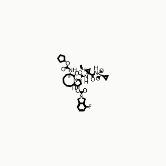 C=C[C@@H]1C[C@]1(NC(=O)[C@@H]1C[C@@H](OC(=O)N2Cc3cccc(F)c3C2)[C@@H]2CCCCC[C@H](NC(=O)OC3CCCC3)C(=O)N12)C(=O)NS(=O)(=O)C1CC1